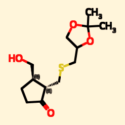 CC1(C)OCC(CSC[C@@H]2C(=O)CC[C@H]2CO)O1